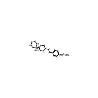 CCCCCc1ccc(CCC2CCC(C3(CCC)CCCCC3)CC2)cc1